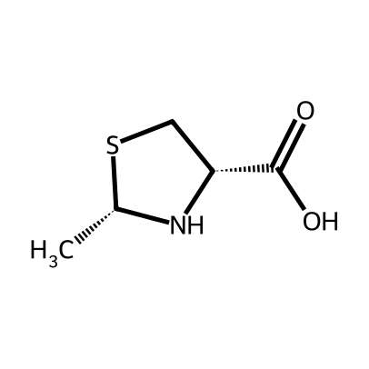 C[C@H]1N[C@@H](C(=O)O)CS1